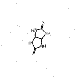 S=C1NC2NC(=S)NC2N1